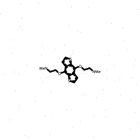 CNCCOc1c2ccsc2c(OCCNC)c2ccsc12